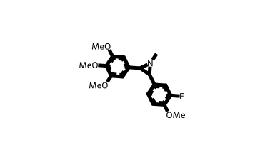 COc1ccc(C2C(c3cc(OC)c(OC)c(OC)c3)N2C)cc1F